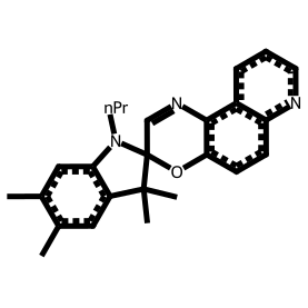 CCCN1c2cc(C)c(C)cc2C(C)(C)C12C=Nc1c(ccc3ncccc13)O2